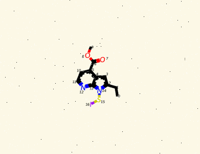 CCc1cc2c(C(=O)OC)ccnc2n1SI